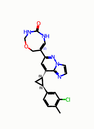 Cc1ccc([C@H]2C[C@@H]2c2cc(/C3=C/NC(=O)NCOC3)nn3ccnc23)cc1Cl